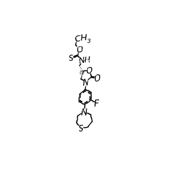 CCOC(=S)NC[C@H]1CN(c2ccc(N3CCCSCC3)c(F)c2)C(=O)O1